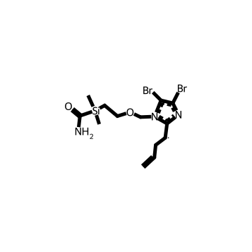 C=CC[CH]c1nc(Br)c(Br)n1COCC[Si](C)(C)C(N)=O